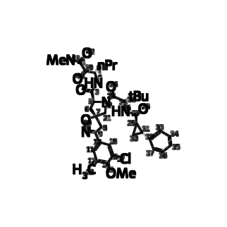 CCC[C@H](NC(=O)[C@@H]1C[C@]2(CC(c3cc(C)c(OC)c(Cl)c3)=NO2)CN1C(=O)[C@@H](NC(=O)[C@@H]1C[C@H]1c1ccccc1)C(C)(C)C)C(=O)C(=O)NC